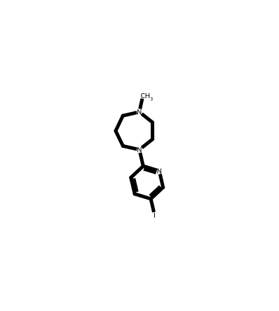 CN1CCCN(c2ccc(I)cn2)CC1